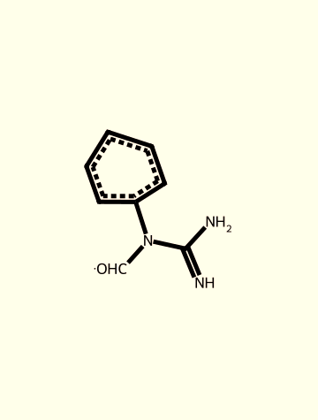 N=C(N)N([C]=O)c1ccccc1